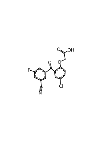 N#Cc1cc(F)cc(C(=O)c2cc(Cl)ccc2OCC(=O)O)c1